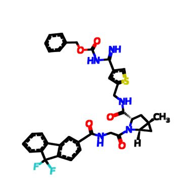 C[C@@]12C[C@@H]1N(C(=O)CNC(=O)c1ccc3c(c1)-c1ccccc1C3(F)F)[C@H](C(=O)NCc1cc(C(=N)NC(=O)OCc3ccccc3)cs1)C2